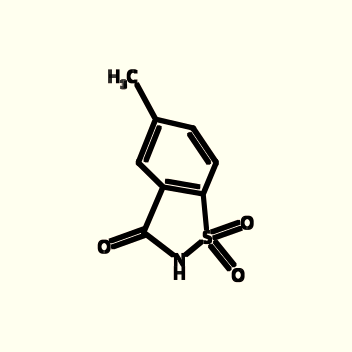 Cc1ccc2c(c1)C(=O)NS2(=O)=O